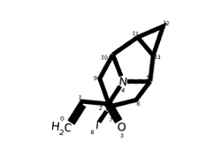 C=CC(=O)N1C2CN(I)CC1C1CC12